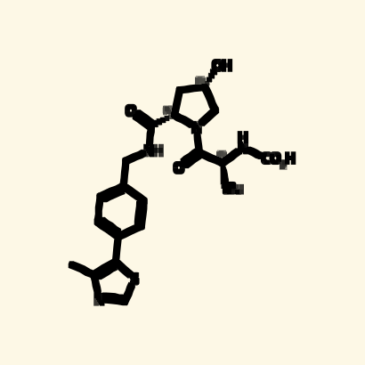 Cc1ncsc1-c1ccc(CNC(=O)[C@@H]2C[C@H](O)CN2C(=O)[C@@H](NC(=O)O)C(C)(C)C)cc1